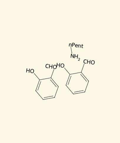 CCCCCN.O=Cc1ccccc1O.O=Cc1ccccc1O